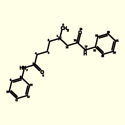 CN(CCCC(=O)Nc1ccccc1)CC(=O)Nc1ccccc1